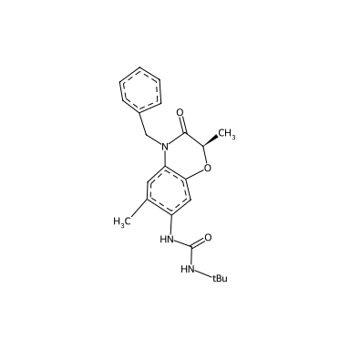 Cc1cc2c(cc1NC(=O)NC(C)(C)C)O[C@H](C)C(=O)N2Cc1ccccc1